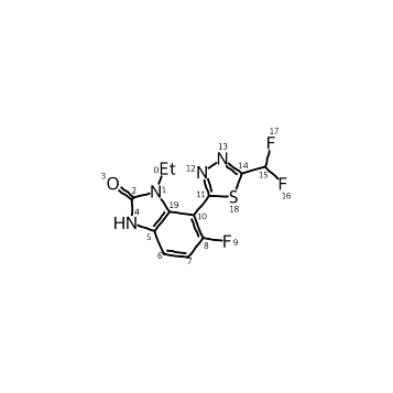 CCn1c(=O)[nH]c2ccc(F)c(-c3nnc(C(F)F)s3)c21